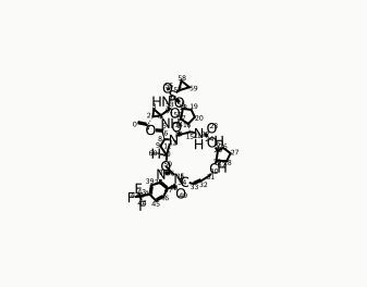 C=C[C@@H]1C[C@]1(NC(=O)[C@@H]1C[C@@H]2CN1C(=O)[C@H](C1CCCC1)NC(=O)O[C@@H]1CCC[C@H]1CCC=CCn1c(nc3cc(C(F)(F)F)ccc3c1=O)O2)C(=O)NS(=O)(=O)C1CC1